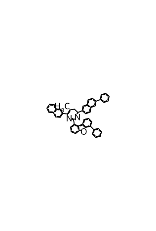 CC1=C(c2ccc3ccccc3c2)N=C(c2cccc3oc4c(-c5ccccc5)cccc4c23)N=C(c2ccc3cc(-c4ccccc4)ccc3c2)C1